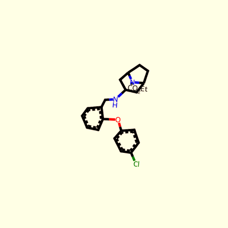 CCOC(=O)N1C2CCC1CC(NCc1ccccc1Oc1ccc(Cl)cc1)C2